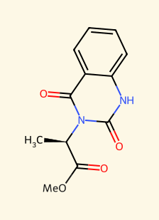 COC(=O)[C@@H](C)n1c(=O)[nH]c2ccccc2c1=O